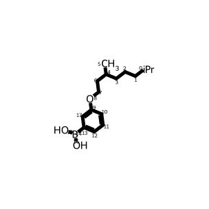 CC(C)CCCC(C)CCOc1cccc(B(O)O)c1